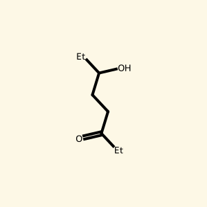 CCC(=O)CCC(O)CC